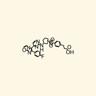 O=C(O)CCc1ccc(S(=O)(=O)N2CCC[C@@H](Nc3nccc(-c4c(-c5ccc(F)cc5)nc5occn45)n3)C2)cc1